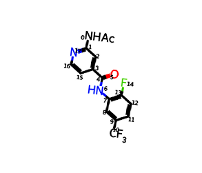 CC(=O)Nc1cc(C(=O)Nc2cc(C(F)(F)F)ccc2F)ccn1